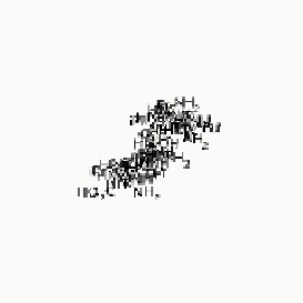 CCCCCCCC(O)CC(=O)NC(CC(C)C)C(=O)NC(CCC(=O)O)C(=O)NC(CCN)C(=O)NC(C(=O)NC(CC(C)C)C(=O)NC(CCN)C(=O)NC(CO)C(=O)NC(C(=O)NC(CC(C)C)C(=O)NC(CC(C)C)C(=O)NC(CCN)C(=O)NC(CC(C)C)C(=O)NC(CCN)C(=O)NC(C(=O)O)C(C)CC)C(C)C)C(C)C